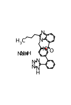 CCCCc1nc2cccc(C(=O)O)c2n1Cc1ccc(-c2ccccc2-c2nnn[nH]2)cc1.[NaH].[NaH]